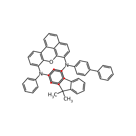 CC1(C)c2ccccc2-c2c(N(c3ccc(-c4ccccc4)cc3)c3ccc4cccc5c4c3Oc3c-5cccc3N(c3ccccc3)c3ccccc3)cccc21